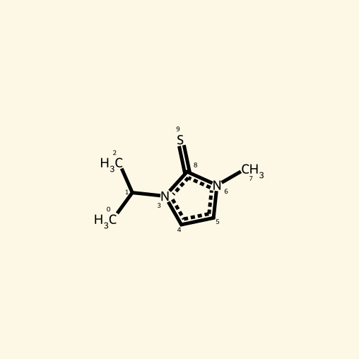 CC(C)n1ccn(C)c1=S